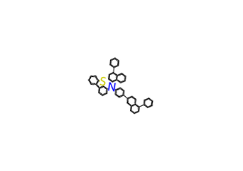 c1ccc(-c2cccc3cc(-c4ccc(N(c5ccc(-c6ccccc6)c6ccccc56)c5cccc6c5sc5ccccc56)cc4)ccc23)cc1